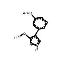 CCCOc1n[nH]cc1-c1cccc(NC(C)=O)c1